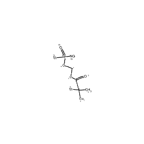 CCC(C)(C)C(=O)OCOP(=O)(CC)N=O